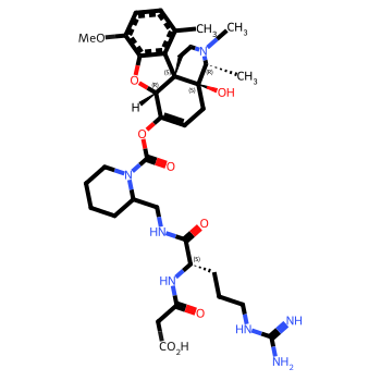 COc1ccc(C)c2c1O[C@H]1C(OC(=O)N3CCCCC3CNC(=O)[C@H](CCCNC(=N)N)NC(=O)CC(=O)O)=CC[C@@]3(O)[C@@H](C)N(C)CC[C@]213